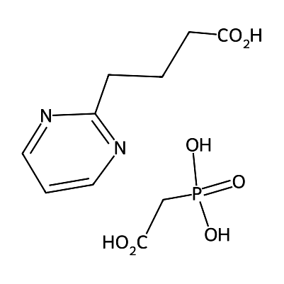 O=C(O)CCCc1ncccn1.O=C(O)CP(=O)(O)O